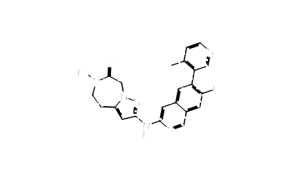 Cc1ccncc1-c1cc2cc(Nc3cc4n(n3)CC(=O)N(C(C)C)CC4)ncc2cc1F